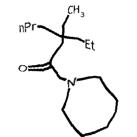 CCCC(C)(CC)C(=O)N1CCCCC1